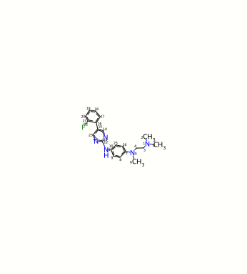 CN(C)CCN(C)c1ccc(Nc2ncc(-c3ccccc3F)cn2)cc1